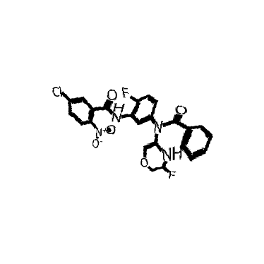 O=C(Nc1cc(N(C(=O)c2ccccc2)C2COCC(F)N2)ccc1F)c1cc(Cl)ccc1[N+](=O)[O-]